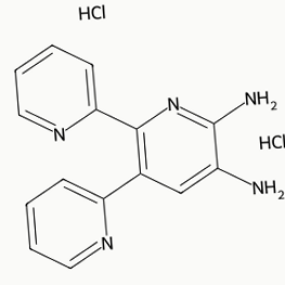 Cl.Cl.Nc1cc(-c2ccccn2)c(-c2ccccn2)nc1N